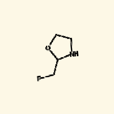 FCC1NCCO1